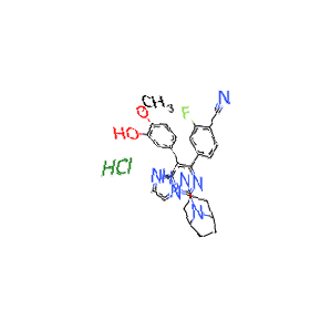 COc1ccc(-c2c(-c3ccc(C#N)c(F)c3)nc(N3C4CCC3CC(N)C4)n3ccnc23)cc1O.Cl